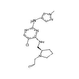 Cn1cc(Nc2ncc(Cl)c(NC[C@H]3CCCN3CC=O)n2)cn1